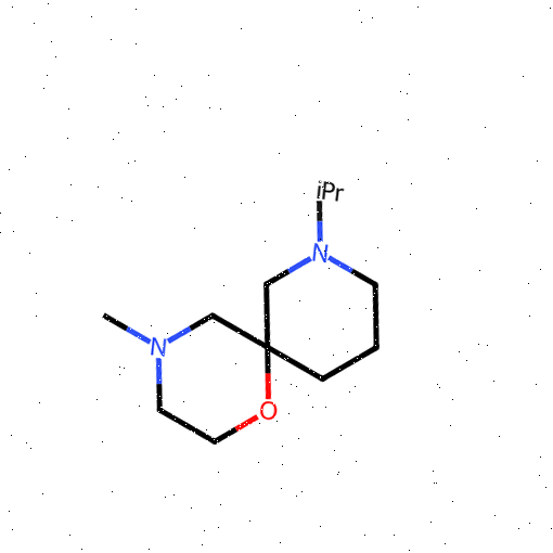 CC(C)N1CCCC2(CN(C)CCO2)C1